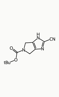 CC(C)(C)OC(=O)N1Cc2nc(C#N)[nH]c2C1